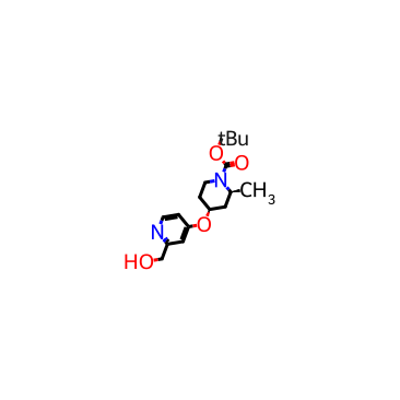 C[C@H]1C[C@@H](Oc2ccnc(CO)c2)CCN1C(=O)OC(C)(C)C